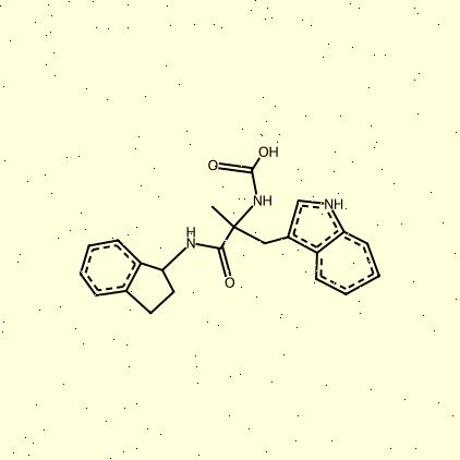 CC(Cc1c[nH]c2ccccc12)(NC(=O)O)C(=O)NC1CCc2ccccc21